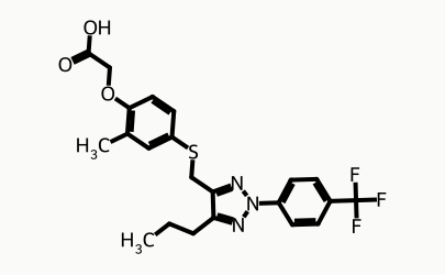 CCCc1nn(-c2ccc(C(F)(F)F)cc2)nc1CSc1ccc(OCC(=O)O)c(C)c1